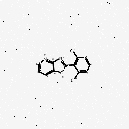 Clc1cccc(Cl)c1-c1nc2ncccc2o1